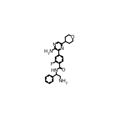 NCC(NC(=O)c1ccc(-c2nc(C3CCOCC3)cnc2N)cc1F)c1ccccc1